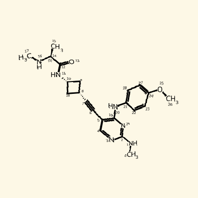 CNc1ncc(C#C[C@H]2C[C@@H](NC(=O)[C@H](C)NC)C2)c(Nc2ccc(OC)cc2)n1